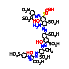 Cc1cc(S(=O)(=O)O)c(/N=N/c2c(C(=O)O)nn(-c3ccc(S(=O)(=O)O)cc3)c2O)cc1N=Nc1c(S(=O)(=O)O)cc2c(S(=O)(=O)O)c(N=Nc3cc(S(=O)(=O)O)c4cc(SOOO)c(N=Nc5ccc([N+](=O)[O-])cc5S(=O)(=O)O)c(O)c4c3N)ccc2c1O